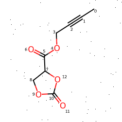 CC#CCOC(=O)C1COC(=O)O1